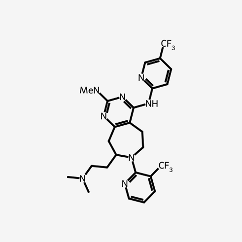 CNc1nc2c(c(Nc3ccc(C(F)(F)F)cn3)n1)CCN(c1ncccc1C(F)(F)F)C(CCN(C)C)C2